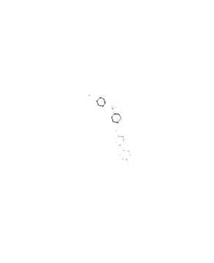 CCC1CCC(C2CCC(CCc3ccc(C(F)(F)Oc4ccc(OC(F)F)cc4)cc3)CC2)CC1